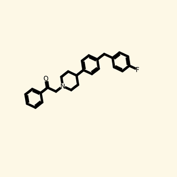 O=C(CN1CCC(c2ccc(Cc3ccc(F)cc3)cc2)CC1)c1ccccc1